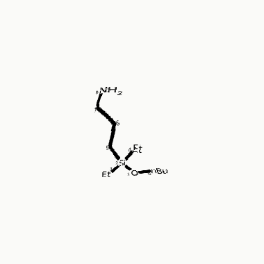 CCCCO[Si](CC)(CC)CCCN